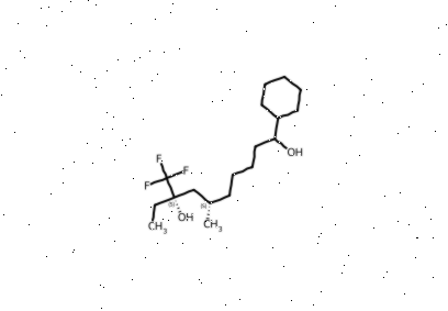 CC[C@](O)(C[C@@H](C)CCCCC(O)C1CCCCC1)C(F)(F)F